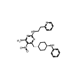 Nc1nc(NCCc2ccccn2)nc(C[C@H]2CC[C@H](Nc3ccccc3)CC2)c1[N+](=O)[O-]